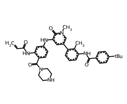 C=CC(=O)Nc1cc(Nc2cc(-c3cccc(NC(=O)c4ccc(C(C)(C)C)cc4)c3C)cn(C)c2=O)ccc1C(=O)N1CCNCC1